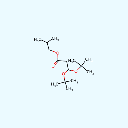 CC(C)COC(=O)CC(OC(C)(C)C)OC(C)(C)C